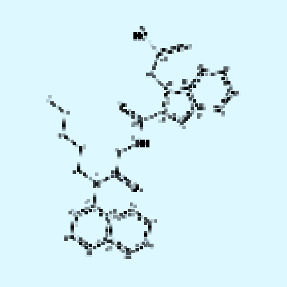 CCCCCN(C(=O)CNC(=O)c1cc2ccccc2n1CC(=O)O)c1cccc2ccccc12